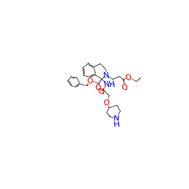 CCOC(=O)CCN1CCc2ccccc2C1(NC(=O)COC1CCNCC1)C(=O)OCc1ccccc1